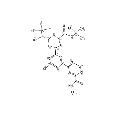 CNC(=O)c1cc(-c2cc([C@@H]3CN(C(=O)OC(C)(C)C)C[C@@H](C(O)C(F)(F)F)O3)cc(Cl)n2)ncn1